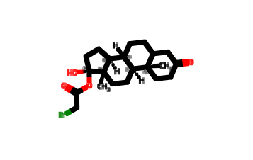 C[C@]12CCC(=O)CC1CC[C@@H]1[C@@H]2CC[C@@]2(C)[C@H]1CC[C@@]2(O)OC(=O)CBr